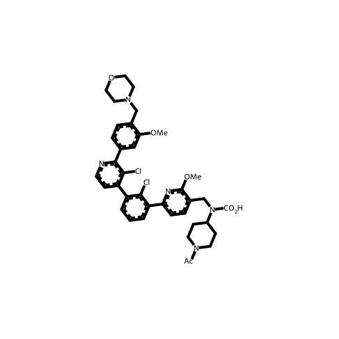 COc1cc(-c2nccc(-c3cccc(-c4ccc(CN(C(=O)O)C5CCN(C(C)=O)CC5)c(OC)n4)c3Cl)c2Cl)ccc1CN1CCOCC1